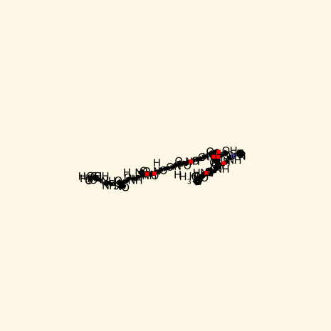 Cc1ccccc1NC(=O)Nc1ccc(CC(=O)N[C@@H](CCCCNC(=O)/C=C/c2cccnc2)C(=O)N[C@@H](CCCC(=O)O)C(=O)NC2(C(=O)NCCOCCOCCNC(=O)CCC(=O)NCCOCCOCCNC(=O)CCC(=O)N[C@@H](CCCCNC(=O)CCN3C(=O)CC(SCCCC(=N)NCCCC(C)(O)O[PH](=O)O)C3=O)C(N)=O)CCCCC2)cc1